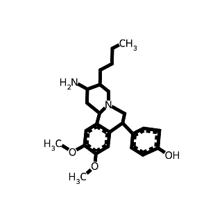 CCCCC1CN2CC(c3ccc(O)cc3)c3cc(OC)c(OC)cc3C2CC1N